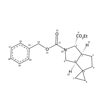 CCOC(=O)[C@@H]1[C@H]2CCC3(CC3)[C@H]2CN1C(=O)OCc1ccccc1